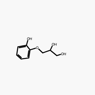 OCC(O)COc1ccccc1O